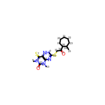 C/C(=N\c1c(N)c(=S)n(C)c(=O)n1C)SCC(=O)C1CCCCCC1C